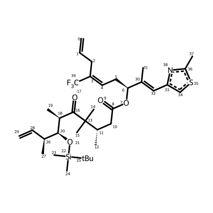 C=CC/C(=C\C[C@H](OC(=O)C[C@H](C)C(C)(C)C(=O)[C@H](C)[C@@H](O[Si](C)(C)C(C)(C)C)[C@@H](C)C=C)/C(C)=C/c1csc(C)n1)C(F)(F)F